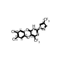 O=c1[nH]c(-n2cc(C(F)(F)F)cn2)nc(C(F)(F)F)c1Oc1ccc(Cl)c(Cl)c1